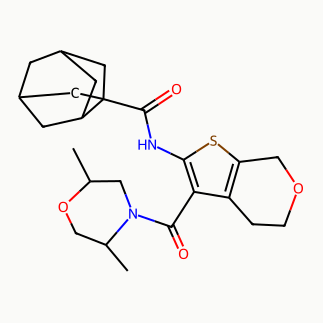 CC1CN(C(=O)c2c(NC(=O)C34CC5CC(CC3C5)C4)sc3c2CCOC3)C(C)CO1